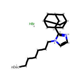 Br.CCCCCCCCCCCCCCCCn1ccnc1C12CC3CC(CC(C3)C1)C2